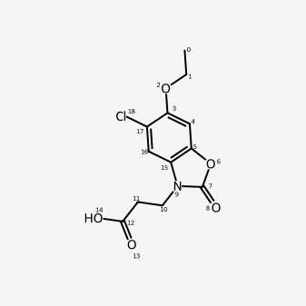 CCOc1cc2oc(=O)n(CCC(=O)O)c2cc1Cl